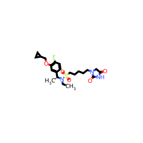 CCN([C@H](C)c1ccc(F)c(OCC2CC2)c1)S(=O)(=O)CCCCCN1CC(=O)NC1=O